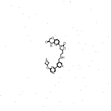 CN1CC(Oc2cncc(-c3cncc(CNCCC4CN(c5ccc6c(n5)NC(=O)CO6)C(=O)O4)c3)n2)C1